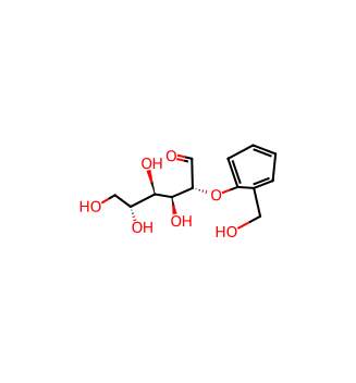 O=C[C@H](Oc1ccccc1CO)[C@@H](O)[C@H](O)[C@H](O)CO